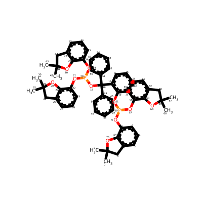 CC1(C)Cc2cccc(OP(Oc3ccccc3C(OP(Oc3cccc4c3OC(C)(C)C4)Oc3cccc4c3OC(C)(C)C4)(c3ccccc3)c3ccccc3)Oc3cccc4c3OC(C)(C)C4)c2O1